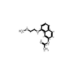 COCCOc1cccc2ccc(OC(C)=O)cc12